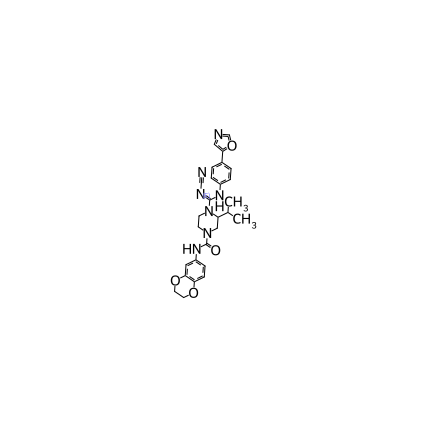 CC(C)C1CN(C(=O)Nc2ccc3c(c2)OCCO3)CCN1/C(=N/C#N)Nc1ccc(-c2cnco2)cc1